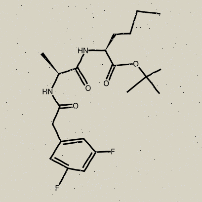 CCCC[C@H](NC(=O)[C@H](C)NC(=O)Cc1cc(F)cc(F)c1)C(=O)OC(C)(C)C